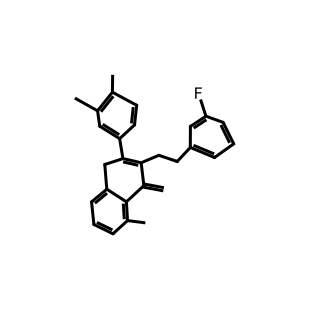 C=C1C(CCc2cccc(F)c2)=C(c2ccc(C)c(C)c2)Cc2cccc(C)c21